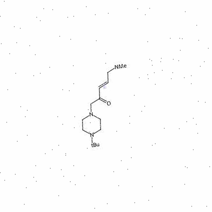 CNC/C=C/C(=O)CN1CCN(C(C)(C)C)CC1